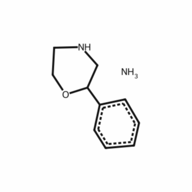 N.c1ccc(C2CNCCO2)cc1